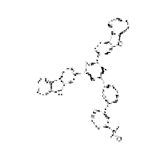 CP(C)(=O)c1cccc(-c2cccc(-c3nc(-c4ccc5c(c4)oc4ccccc45)nc(-c4ccc5c(c4)oc4ccccc45)n3)c2)c1